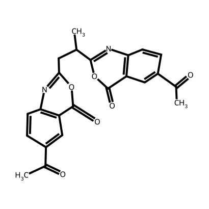 CC(=O)c1ccc2nc(CC(C)c3nc4ccc(C(C)=O)cc4c(=O)o3)oc(=O)c2c1